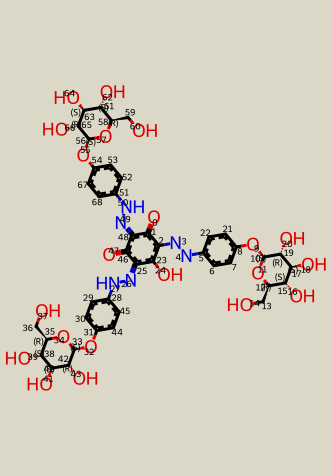 O=c1c(N=Nc2ccc(O[C@@H]3O[C@H](CO)[C@@H](O)[C@H](O)[C@H]3O)cc2)c(O)c(=NNc2ccc(O[C@@H]3O[C@H](CO)[C@@H](O)[C@H](O)[C@H]3O)cc2)c(=O)c1=NNc1ccc(O[C@@H]2O[C@H](CO)[C@@H](O)[C@H](O)[C@H]2O)cc1